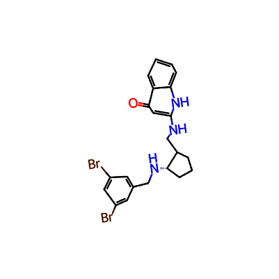 O=c1cc(NCC2CCC[C@@H]2NCc2cc(Br)cc(Br)c2)[nH]c2ccccc12